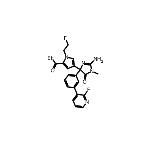 CCC(=O)c1cc(C2(c3cccc(-c4cccnc4F)c3)N=C(N)N(C)C2=O)cn1CCF